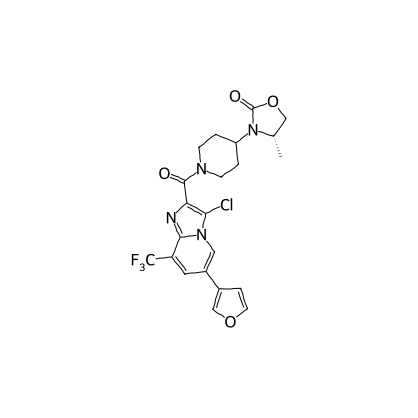 C[C@H]1COC(=O)N1C1CCN(C(=O)c2nc3c(C(F)(F)F)cc(-c4ccoc4)cn3c2Cl)CC1